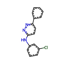 Clc1cccc(Nc2ccc(-c3ccccc3)nn2)c1